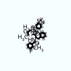 CC[C@H](C)CN(CC(O)C(Cc1ccccc1)NC(=O)c1cccc(F)c1C)S(=O)(=O)c1ccc2ncsc2c1